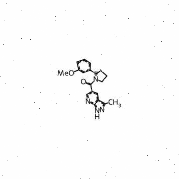 COc1cccc([C@H]2CCCN2C(=O)c2cnc3[nH]nc(C)c3c2)c1